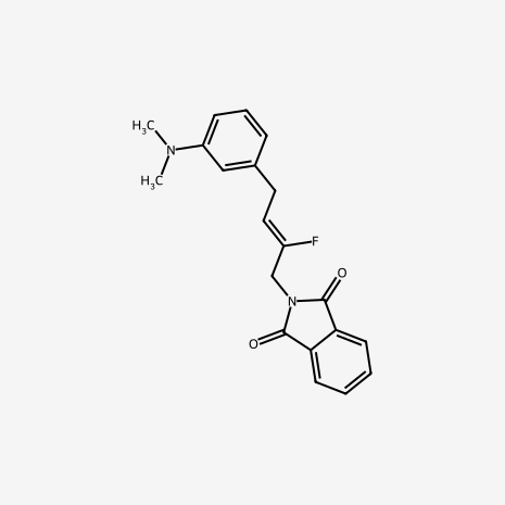 CN(C)c1cccc(C/C=C(\F)CN2C(=O)c3ccccc3C2=O)c1